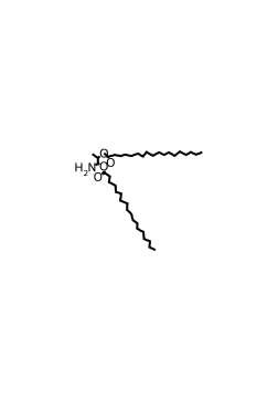 CCCCCCCCCCCCCCCCCC(=O)OC(C)C(N)OC(=O)CCCCCCCCCCCCCCCCC